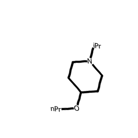 CCCOC1CCN(C(C)C)CC1